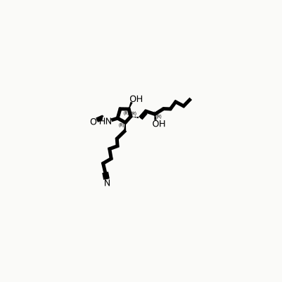 CCCCC[C@@H](O)C=C[C@H]1[C@H](O)CC(NC=O)[C@@H]1CCCCCCC#N